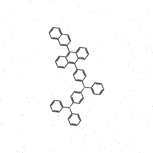 c1ccc(N(c2ccccc2)c2ccc(N(c3ccccc3)c3ccc(-c4c5ccccc5c(-c5ccc6ccccc6c5)c5ccccc45)cc3)cc2)cc1